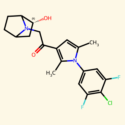 Cc1cc(C(=O)CN2C3CCC2[C@H](O)C3)c(C)n1-c1cc(F)c(Cl)c(F)c1